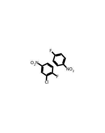 O=[N+]([O-])c1ccc(F)c(Cl)c1.O=[N+]([O-])c1ccc(F)cc1